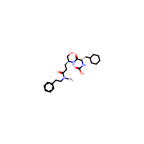 CN(CCc1ccccc1)C(=O)CC[C@@H](CO)NC(=O)[C@H](CC1CCCCC1)NC(=O)O